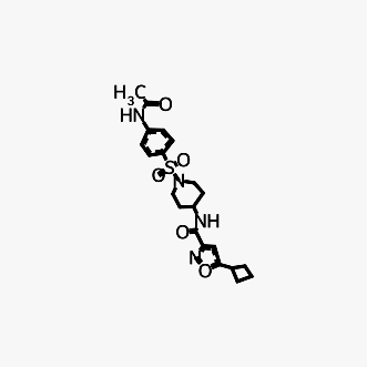 CC(=O)Nc1ccc(S(=O)(=O)N2CCC(NC(=O)c3cc(C4CCC4)on3)CC2)cc1